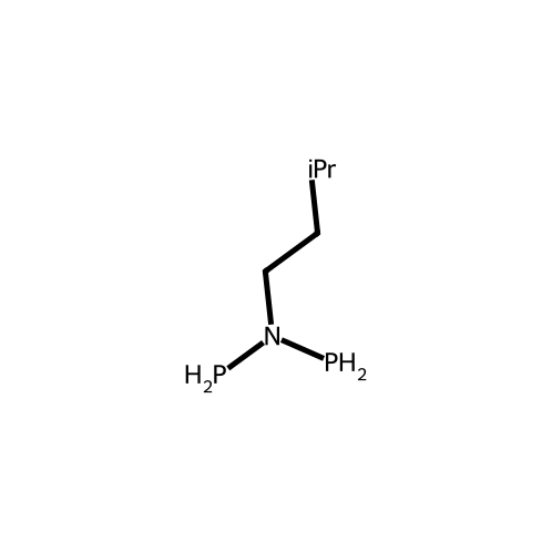 CC(C)CCN(P)P